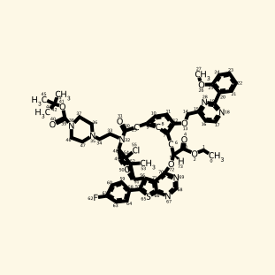 CCOC(=O)[C@H]1Cc2cc(ccc2OCc2ccnc(-c3ccccc3OC)n2)CC(=O)N(CCN2CCN(C(=O)OC(C)(C)C)CC2)c2ccc(c(C)c2Cl)-c2c(-c3ccc(F)cc3)sc3ncnc(c23)O1